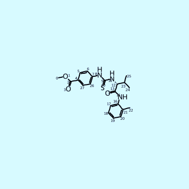 COC(=O)c1ccc(NC(=S)N[C@@H](C(=O)Nc2ccccc2C)C(C)C)cc1